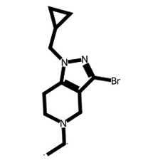 [CH2][CH]N1CCc2c(c(Br)nn2CC2CC2)C1